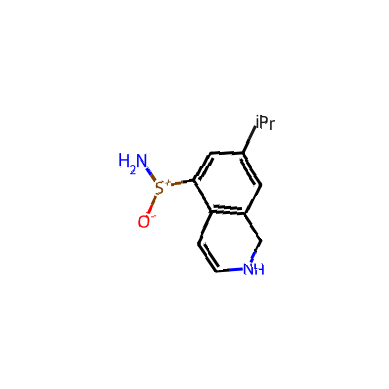 CC(C)c1cc2c(c([S+](N)[O-])c1)C=CNC2